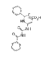 CC(N/C(=C\C(=O)O)NC(=O)NC(=O)c1ccccc1)c1ccccc1